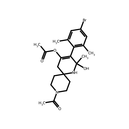 CC(=O)OC1=C(c2c(C)cc(Br)cc2C)C(C)(O)NC2(CCN(C(C)=O)CC2)C1